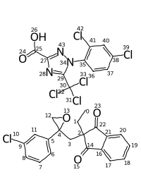 CCC1(CC2(c3cccc(Cl)c3)CO2)C(=O)c2ccccc2C1=O.O=C(O)c1nc(C(Cl)(Cl)Cl)n(-c2ccc(Cl)cc2Cl)n1